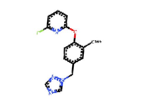 COc1cc(Cn2cncn2)ccc1Oc1cccc(F)n1